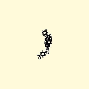 CC(=O)N1CCC(C(=O)ON=C2C=C3CC[C@H]4[C@H](CC[C@]5(C)C(c6cccnc6)=CC[C@@H]45)[C@@]3(C)CC2)CC1